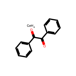 O=C(C(=O)c1ccccc1)c1ccccc1.[GeH4]